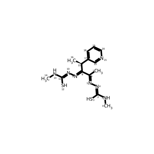 CN/C(S)=N/N=C(C)/C(=N/N=C(\S)NC)[C@@H](C)c1cccnc1